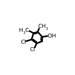 Cc1c(O)cc(Cl)c(Cl)c1C